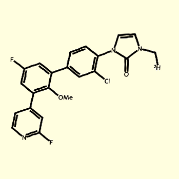 [2H]Cn1ccn(-c2ccc(-c3cc(F)cc(-c4ccnc(F)c4)c3OC)cc2Cl)c1=O